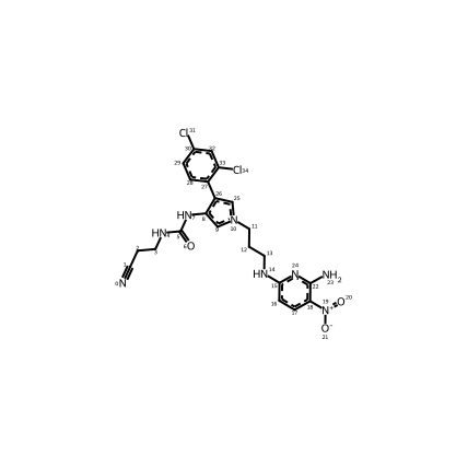 N#CCCNC(=O)Nc1cn(CCCNc2ccc([N+](=O)[O-])c(N)n2)cc1-c1ccc(Cl)cc1Cl